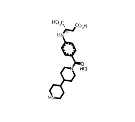 Cl.O=C(O)C[C@H](Nc1ccc(C(=O)N2CCC(C3CCNCC3)CC2)cc1)C(=O)O